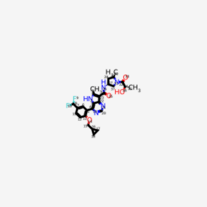 Cc1[nH]c2c(-c3cc(C(F)F)ccc3OCC3CC3)ncnc2c1C(=O)N[C@@H]1C[C@@H](C)N(C(=O)[C@H](C)O)C1